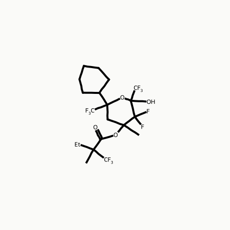 CCC(C)(C(=O)OC1(C)CC(C2CCCCC2)(C(F)(F)F)OC(O)(C(F)(F)F)C1(F)F)C(F)(F)F